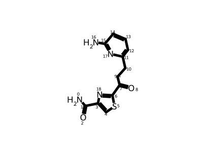 NC(=O)c1csc(C(=O)[CH]Cc2cccc(N)n2)n1